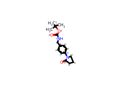 CC(C)(C)OC(=O)NCc1ccc(N2CCCC2=O)cc1